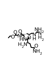 CCOC(=O)NC(=O)[C@H](CCCNC(N)N)NC(=O)[C@@H](N)CCC(N)=O